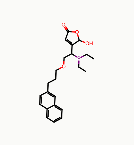 CCP(CC)C(COCCCc1ccc2ccccc2c1)C1=CC(=O)OC1O